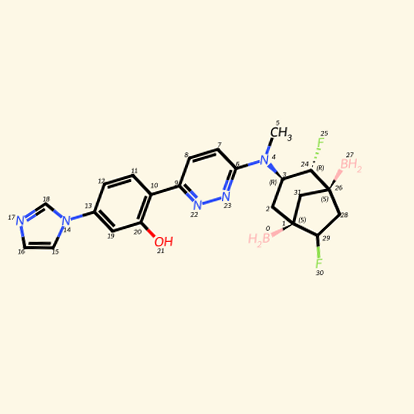 B[C@]12C[C@@H](N(C)c3ccc(-c4ccc(-n5ccnc5)cc4O)nn3)[C@H](F)[C@](B)(CC1F)C2